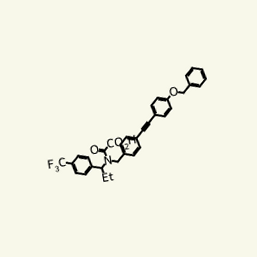 CCC(c1ccc(C(F)(F)F)cc1)N(Cc1ccc(C#Cc2ccc(OCc3ccccc3)cc2)cc1)C(=O)C(=O)O